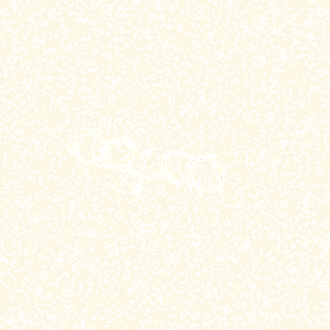 O=C(c1ccc2c(c1)COCO2)c1ccc2c(c1)COCO2